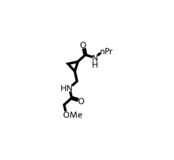 CCCNC(=O)C1CC1CNC(=O)COC